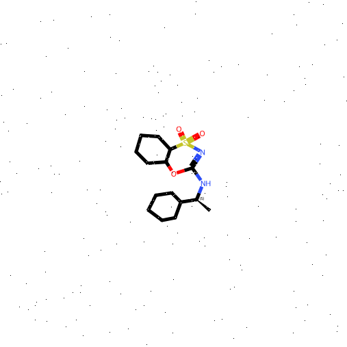 C[C@H](NC1=NS(=O)(=O)C2CCCCC2O1)C1CCCCC1